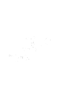 CC(C)(C)OC(=O)n1cnc(C[C@H](NC(=O)[C@H](Cc2ccccc2)CS(=O)(=O)C(C)(C)C)C(=O)O)c1